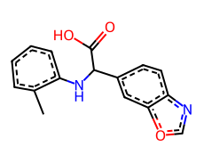 Cc1ccccc1NC(C(=O)O)c1ccc2ncoc2c1